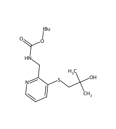 CC(C)(O)CSc1cccnc1CNC(=O)OC(C)(C)C